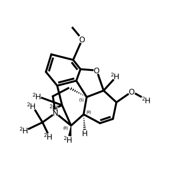 [2H]OC1C=C[C@@H]2[C@@]34CCN(C([2H])([2H])[2H])[C@]2([2H])C([2H])([2H])c2ccc(OC)c(c23)OC14[2H]